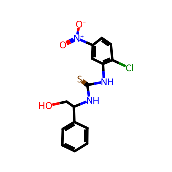 O=[N+]([O-])c1ccc(Cl)c(NC(=S)NC(CO)c2ccccc2)c1